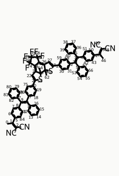 CC(=C(C#N)C#N)c1ccc(/C(=C(\c2ccccc2)c2ccc(C3=CC4=C5C(=C6C=C(c7ccc(/C(=C(\c8ccccc8)c8ccc(C(C)=C(C#N)C#N)cc8)c8ccccc8)cc7)SC6(C)C4(C)S3)C(F)(F)C(F)(F)C5(F)F)cc2)c2ccccc2)cc1